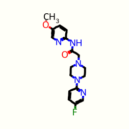 COc1ccc(NC(=O)CN2CCN(c3ccc(F)cn3)CC2)nc1